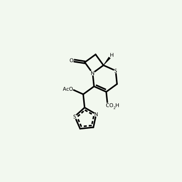 CC(=O)OC(C1=C(C(=O)O)CS[C@H]2CC(=O)N12)c1nccs1